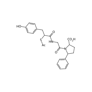 CC(=O)SC(Cc1ccc(O)cc1)C(=O)NCC(=O)N1C(C(=O)O)CCC1c1ccccc1